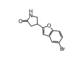 O=C1CC(c2cc3cc(Br)ccc3o2)CN1